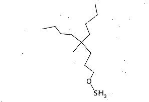 CCCCC(C)(CCCC)CCCO[SiH3]